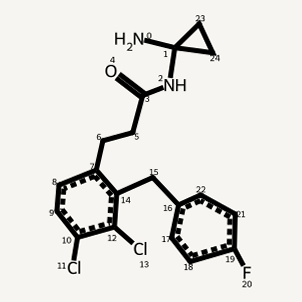 NC1(NC(=O)CCc2ccc(Cl)c(Cl)c2Cc2ccc(F)cc2)CC1